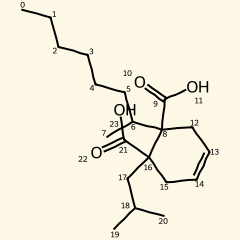 CCCCCCC(C)C1(C(=O)O)CC=CCC1(CC(C)C)C(=O)O